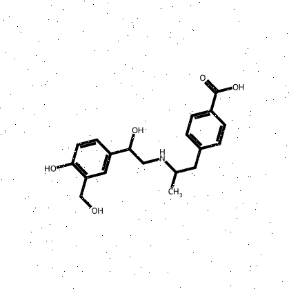 CC(Cc1ccc(C(=O)O)cc1)NCC(O)c1ccc(O)c(CO)c1